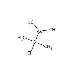 C[As](C)[Si](C)(C)Cl